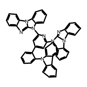 c1ccc(-n2c3ccccc3c3ccccc32)c(-c2cc(-n3c4ccccc4n4c5ccccc5nc34)nc(-n3c4ccccc4n4c5ccccc5nc34)c2)c1